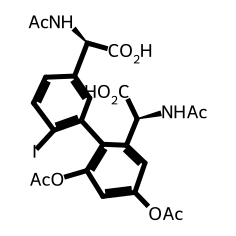 CC(=O)N[C@H](C(=O)O)c1cc(OC(C)=O)cc(OC(C)=O)c1-c1cc([C@@H](NC(C)=O)C(=O)O)ccc1I